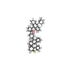 c1ccc(-c2c3ccccc3c(-c3cccc4c3oc3cc(-c5c6ccccc6c(-c6cccc7sc8ccccc8c67)c6ccccc56)ccc34)c3ccccc23)cc1